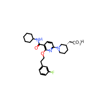 O=C(O)C[C@@H]1CCCN(c2ccc(C(=O)NC3CCCCC3)c(OCCc3cccc(F)c3)n2)C1